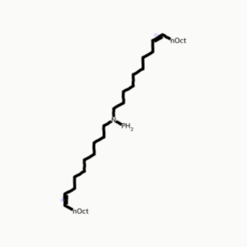 CCCCCCCC/C=C\CCCCCCCCN(P)CCCCCCCC/C=C\CCCCCCCC